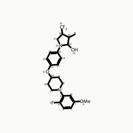 COc1ccc(F)c(N2CCC(Oc3ccc(N4CC(C(F)(F)F)C(C)C4O)cc3)CC2)c1